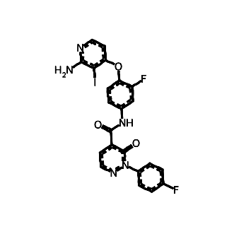 Nc1nccc(Oc2ccc(NC(=O)c3ccnn(-c4ccc(F)cc4)c3=O)cc2F)c1I